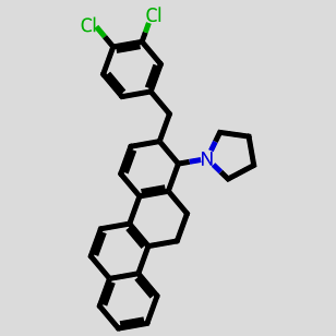 Clc1ccc(CC2C=CC3=C(CCc4c3ccc3ccccc43)C2N2CCCC2)cc1Cl